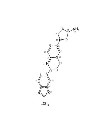 Cc1nc2ccc(C3=CCN4C=C(N5CCC(N)C5)C=CC4=N3)cc2s1